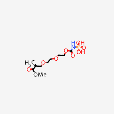 C=C(COCCOCCOC(=O)NP(=O)(O)O)C(=O)OC